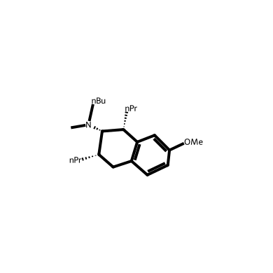 CCCCN(C)[C@H]1[C@@H](CCC)Cc2ccc(OC)cc2[C@H]1CCC